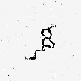 N=CCNc1cc2ccc(O)cc2cn1